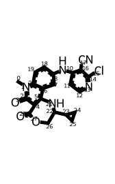 Cn1c(=O)c2c(c3cc(Nc4ccnc(Cl)c4C#N)ccc31)NC(C1CC1)COC2=O